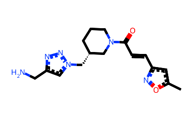 Cc1cc(/C=C/C(=O)N2CCC[C@@H](Cn3cc(CN)nn3)C2)no1